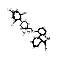 O=c1[nH]c2cccc(OC[C@]3(O)CCN(c4c(F)cc(Cl)cc4F)C[C@H]3O)c2c2ccccc12